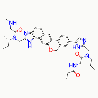 CCCN(Cc1ncc(-c2ccc3c(c2)COc2cc4c(ccc5nc(CN(C(=O)CNC)[C@@H](C)CC)[nH]c54)cc2-3)[nH]1)C(=O)CNC(=O)CC